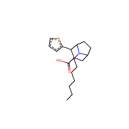 CCCCCCCN1C2CCC1C(c1cccs1)C(C(=O)O)C2